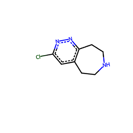 Clc1cc2c(nn1)CCNCC2